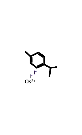 Cc1ccc(C(C)C)cc1.[I-].[I-].[Os+2]